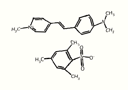 CN(C)c1ccc(C=Cc2cc[n+](C)cc2)cc1.Cc1cc(C)c(S(=O)(=O)[O-])c(C)c1